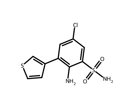 Nc1c(-c2ccsc2)cc(Cl)cc1S(N)(=O)=O